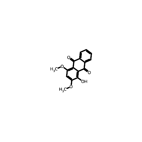 COc1cc(OC)c2c(c1O)C(=O)c1ccccc1C2=O